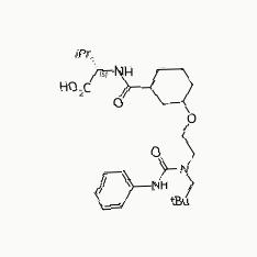 CC(C)[C@H](NC(=O)C1CCCC(OCCN(CC(C)(C)C)C(=O)Nc2ccccc2)C1)C(=O)O